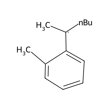 CCCC[C](C)c1ccccc1C